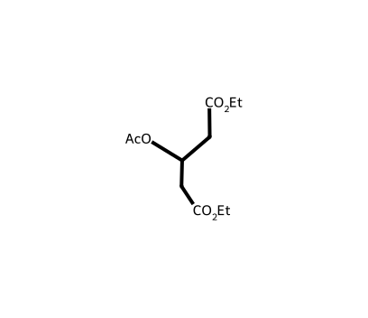 CCOC(=O)CC(CC(=O)OCC)OC(C)=O